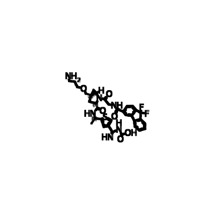 C[C@@H](NC(=O)[C@@H]1C[C@]2(COCCCN)C[C@@H]2N1C(=O)CNC(=O)c1ccc2c(c1)-c1ccccc1C2(F)F)c1cc(C(=N)NC(=O)O)cs1